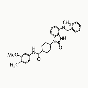 COc1cc(NC(=O)C2CCC(n3c(=O)[nH]c4c(N(C)Cc5ccccc5)cccc43)CC2)ccc1C